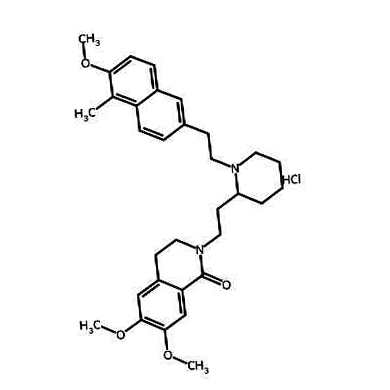 COc1cc2c(cc1OC)C(=O)N(CCC1CCCCN1CCc1ccc3c(C)c(OC)ccc3c1)CC2.Cl